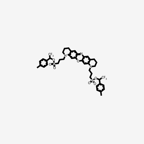 Cc1ccc(C(OS(=O)(=O)CCCN2CCCc3cc4c(cc32)Oc2cc3c(cc2=N4)CCC[N+]=3CCCS(=O)(=O)OC(c2ccc(C)cc2)C(F)(F)F)C(F)(F)F)cc1